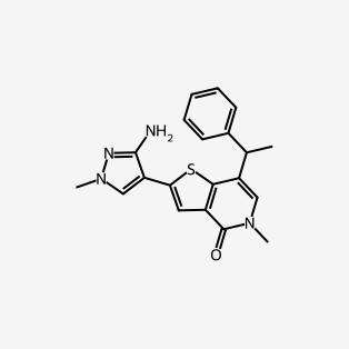 CC(c1ccccc1)c1cn(C)c(=O)c2cc(-c3cn(C)nc3N)sc12